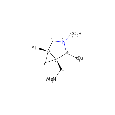 CNC[C@@]12C[C@@H]1CN(C(=O)O)C2C(C)(C)C